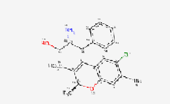 CC(C)(C)c1cc2c(cc1Cl)C=C(C(=O)O)[C@H](C(F)(F)F)O2.N[C@@H](CO)Cc1ccccc1